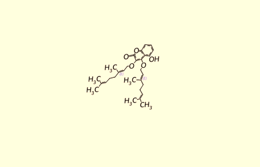 CC(C)=CCC/C(C)=C/COc1c(OC/C=C(\C)CCC=C(C)C)c2c(O)cccc2oc1=O